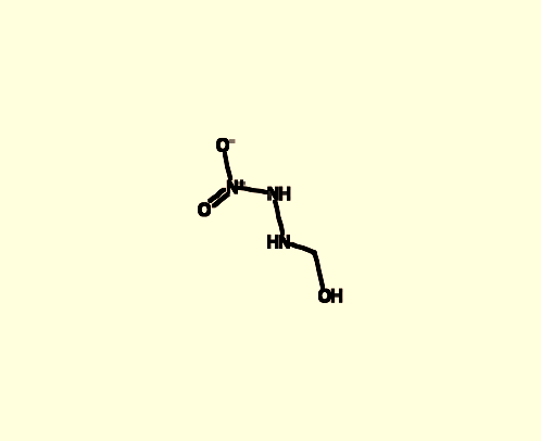 O=[N+]([O-])NNCO